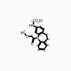 CCOC(=O)Nc1ccc2c(c1)N(C(=O)COC(C)C)c1ccccc1CC2